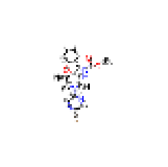 CC(C)(C)OC(=O)N[C@@H]1c2ccccc2O[C@]12C[C@H]1CC[C@@H](C2)N1c1cnc([S-])cn1.[Na+]